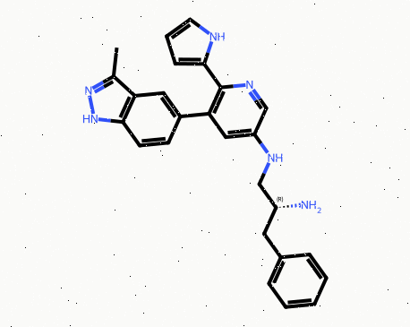 Cc1n[nH]c2ccc(-c3cc(NC[C@H](N)Cc4ccccc4)cnc3-c3ccc[nH]3)cc12